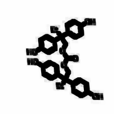 CCC(COC(=O)OCC(CC)(c1ccc(O)cc1)c1ccc(O)cc1)(c1ccc(O)cc1)c1ccc(O)cc1